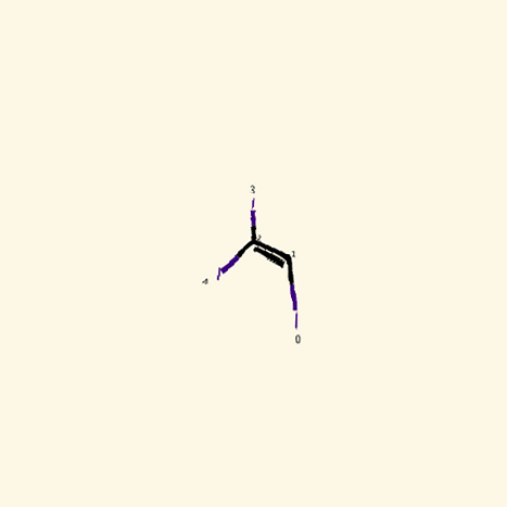 IC=C(I)I